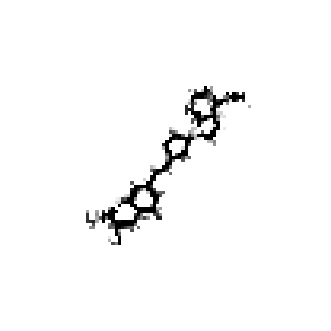 Nc1nc2cc(CCC3CCC(n4ccc5c(N)ncnc54)C3)cc(F)c2cc1Cl